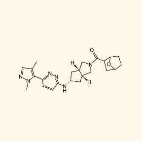 Cc1cnn(C)c1-c1ccc(N[C@@H]2C[C@@H]3CN(C(=O)C4CC5CCC4O5)C[C@@H]3C2)nn1